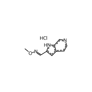 CON=Cc1cc2ccncc2[nH]1.Cl